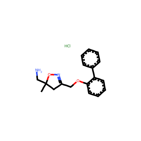 CC1(CN)CC(COc2ccccc2-c2ccccc2)=NO1.Cl